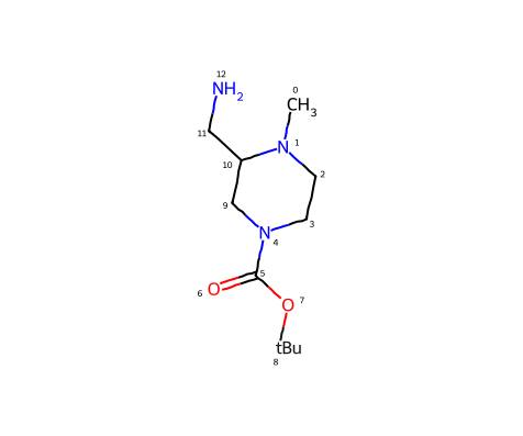 CN1CCN(C(=O)OC(C)(C)C)CC1CN